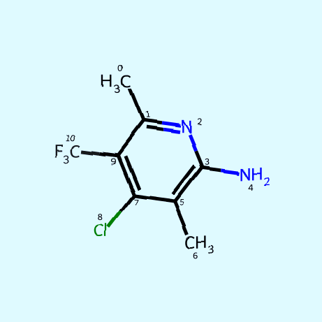 Cc1nc(N)c(C)c(Cl)c1C(F)(F)F